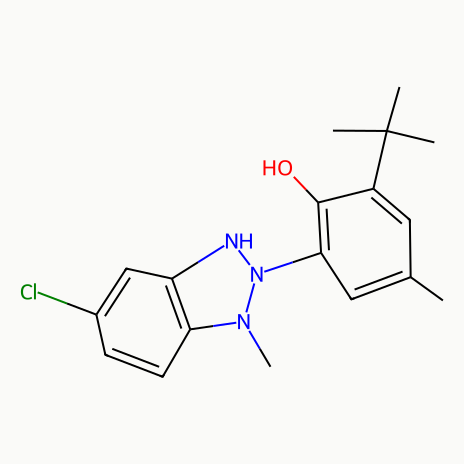 Cc1cc(N2Nc3cc(Cl)ccc3N2C)c(O)c(C(C)(C)C)c1